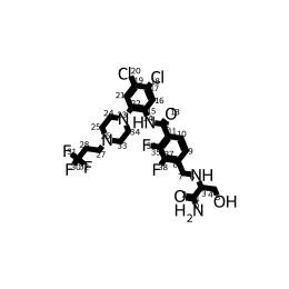 NC(=O)C(CO)NCc1ccc(C(=O)Nc2cc(Cl)c(Cl)cc2N2CCN(CCC(F)(F)F)CC2)c(F)c1F